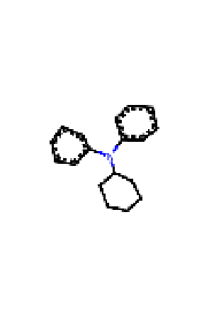 c1ccc(N([C]2CCCCC2)c2ccccc2)cc1